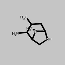 CC1CC2NCC(C1N)N2C